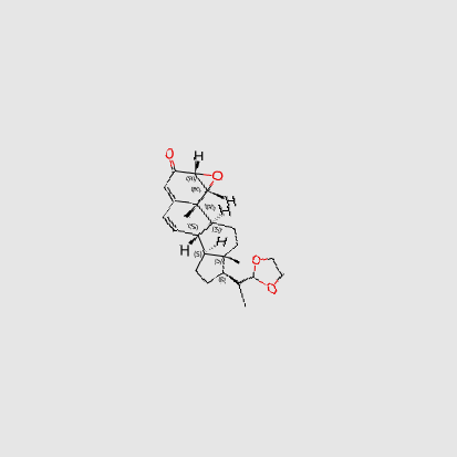 CC(C1OCCO1)[C@H]1CC[C@H]2[C@@H]3C=CC4=CC(=O)[C@@H]5O[C@@H]5[C@]4(C)[C@H]3CC[C@]12C